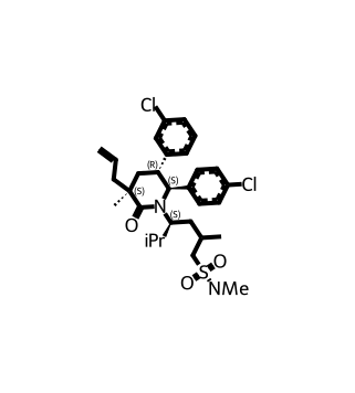 C=CC[C@@]1(C)C[C@H](c2cccc(Cl)c2)[C@@H](c2ccc(Cl)cc2)N([C@@H](CC(C)CS(=O)(=O)NC)C(C)C)C1=O